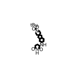 CC(C)(C)OC(=O)N1CCC2(CC1)Cc1ccc(N[C@@H]3CCC(=O)NC3=O)cc1C2